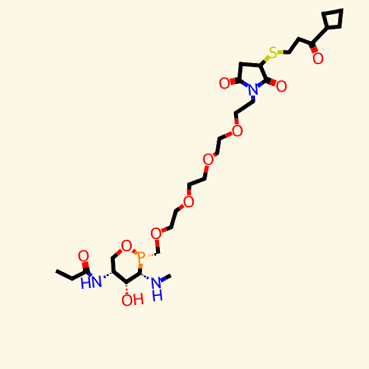 CCC(=O)N[C@@H]1CO[P@](COCCOCCOCCOCCN2C(=O)CC(SCCC(=O)C3CCC3)C2=O)[C@H](NC)[C@@H]1O